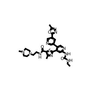 CCNC(=O)Nc1cc(-c2nc(C)c(C(=O)NCCN3CCN(C)CC3)s2)c(-c2cncc(-c3nnc(C)o3)c2)cn1